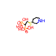 O=P(O)(O)C(CS[C@H]1CCCNC1)P(=O)(O)O